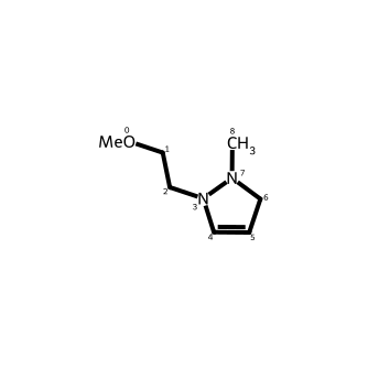 COCCN1C=CCN1C